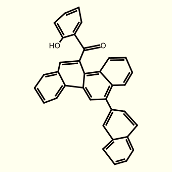 O=C(c1ccccc1O)c1cc2ccccc2c2cc(-c3ccc4ccccc4c3)c3ccccc3c12